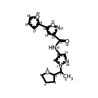 CC(C1CCCO1)n1cc(NC(=O)c2cc(-c3ccco3)on2)cn1